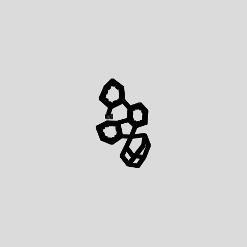 N#Cc1ccccc1-c1cccc2c1-c1ccccc1C21C2CC3CC(C2)CC1C3